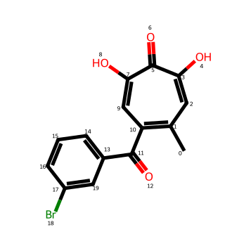 Cc1cc(O)c(=O)c(O)cc1C(=O)c1cccc(Br)c1